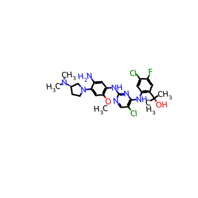 COc1cc(N2CC[C@@H](N(C)C)C2)c(N)cc1Nc1ncc(Cl)c(Nc2cc(Cl)c(F)cc2C(C)(C)O)n1